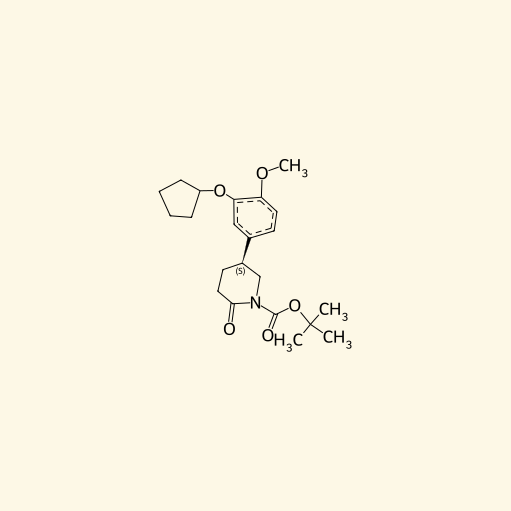 COc1ccc([C@@H]2CCC(=O)N(C(=O)OC(C)(C)C)C2)cc1OC1CCCC1